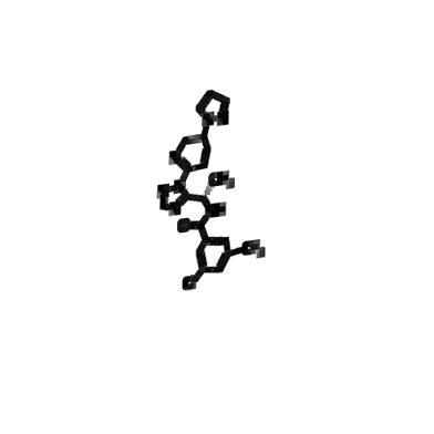 C[C@H](NC(=O)c1cc(Cl)cc(C(F)(F)F)c1)c1ncnn1-c1ccc(-n2cccn2)cn1